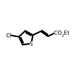 CCOC(=O)C=Cc1cc(Cl)cs1